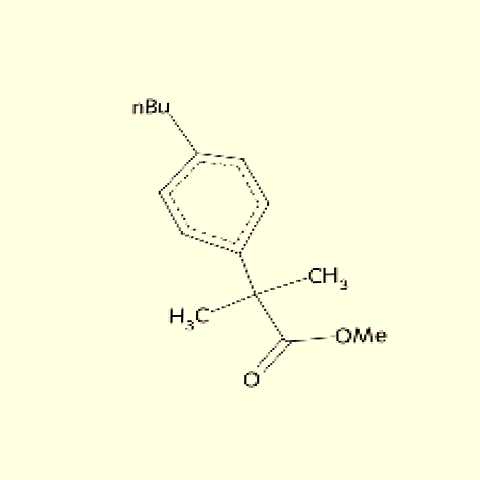 CCCCc1ccc(C(C)(C)C(=O)OC)cc1